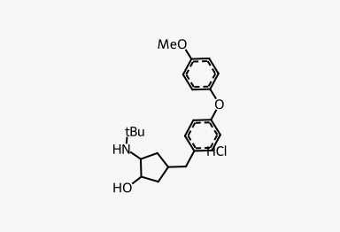 COc1ccc(Oc2ccc(CC3CC(O)C(NC(C)(C)C)C3)cc2)cc1.Cl